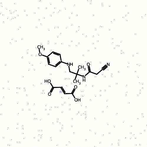 COc1ccc(NCC(C)(C)NC(=O)CC#N)cc1.O=C(O)/C=C/C(=O)O